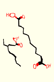 CCCCC(CC)C(=O)O.O=C(O)CCCCCCCCC(=O)O